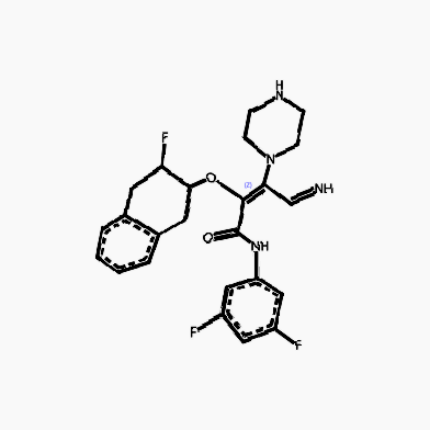 N=C/C(=C(/OC1Cc2ccccc2CC1F)C(=O)Nc1cc(F)cc(F)c1)N1CCNCC1